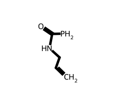 C=CCNC(=O)P